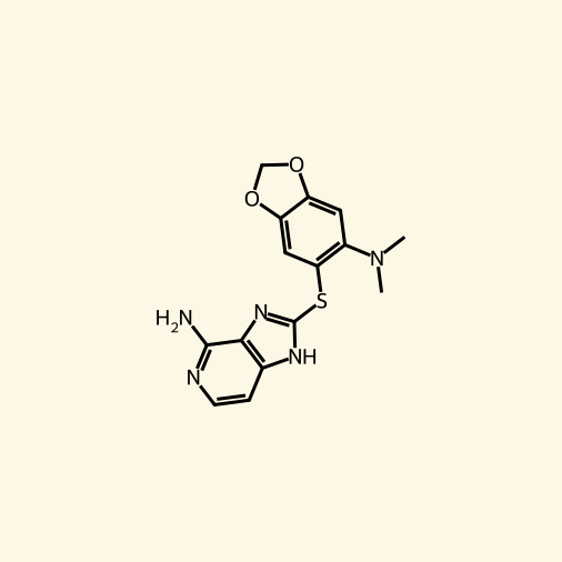 CN(C)c1cc2c(cc1Sc1nc3c(N)nccc3[nH]1)OCO2